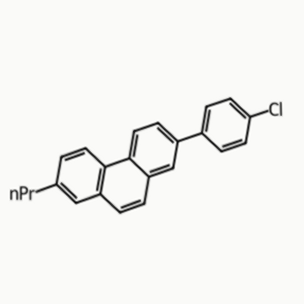 CCCc1ccc2c(ccc3cc(-c4ccc(Cl)cc4)ccc32)c1